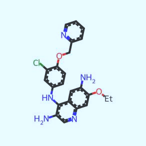 CCOc1cc2ncc(N)c(Nc3ccc(OCc4ccccn4)c(Cl)c3)c2cc1N